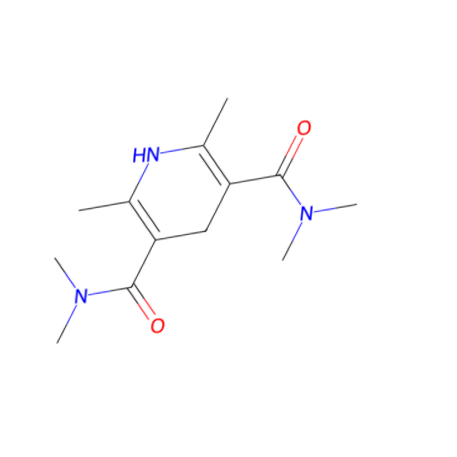 CC1=C(C(=O)N(C)C)CC(C(=O)N(C)C)=C(C)N1